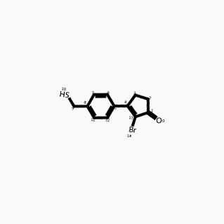 O=C1CCC(c2ccc(CS)cc2)=C1Br